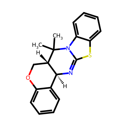 CC1(C)[C@H]2COc3ccccc3[C@@H]2N=C2Sc3ccccc3N21